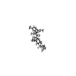 CC(NCC(F)(F)F)c1cc2c(cc1F)c(C(=O)Nc1c[nH]c3ccc(F)cc13)cn2C